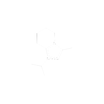 Cc1c[n+](C(C)C)c2n1CCCC2